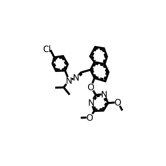 COc1cc(OC)nc(Oc2ccc3ccccc3c2C=NN(c2ccc(Cl)cc2)C(C)C)n1